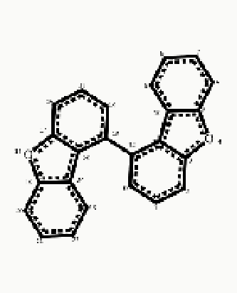 [c]1ccc2oc3ccccc3c2c1-c1cccc2oc3ccccc3c12